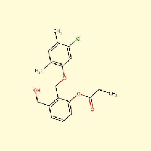 CCC(=O)Oc1cccc(CO)c1COc1cc(Cl)c(C)cc1C